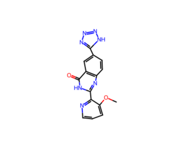 COc1cccnc1-c1nc2ccc(-c3nnn[nH]3)cc2c(=O)[nH]1